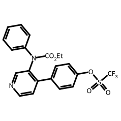 CCOC(=O)N(c1ccccc1)c1cnccc1-c1ccc(OS(=O)(=O)C(F)(F)F)cc1